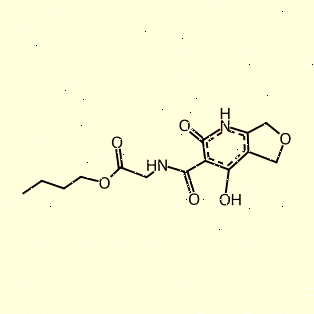 CCCCOC(=O)CNC(=O)c1c(O)c2c([nH]c1=O)COC2